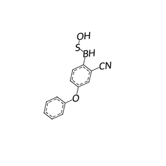 N#Cc1cc(Oc2ccccc2)ccc1BSO